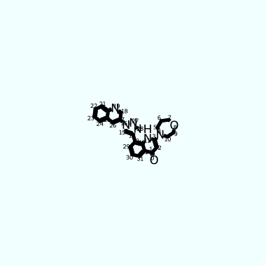 O=c1cc(N2CCCOCC2)[nH]c2c(-c3cn(-c4cnc5ccccc5c4)nn3)cccc12